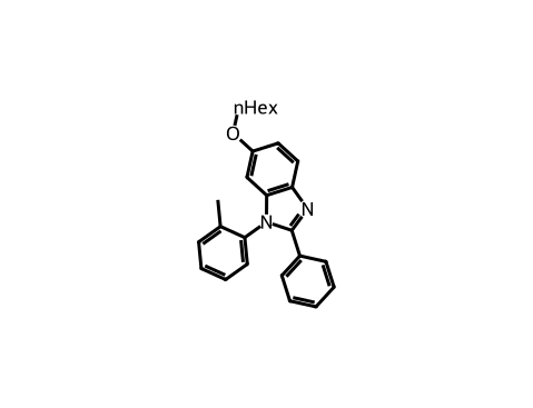 CCCCCCOc1ccc2nc(-c3ccccc3)n(-c3ccccc3C)c2c1